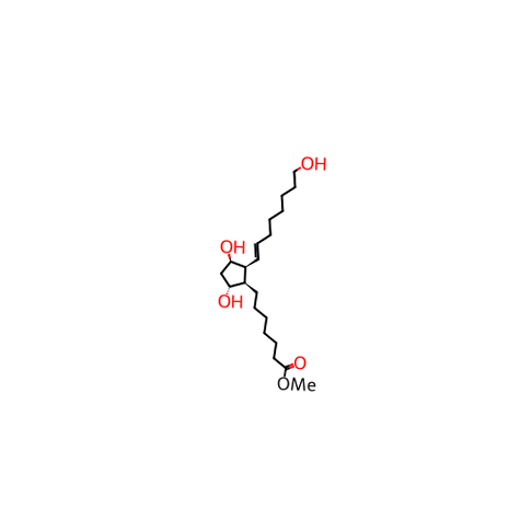 COC(=O)CCCCCC[C@@H]1[C@H](C=CCCCCCCO)[C@H](O)C[C@H]1O